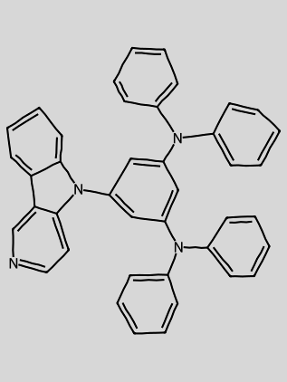 c1ccc(N(c2ccccc2)c2cc(N(c3ccccc3)c3ccccc3)cc(-n3c4ccccc4c4cnccc43)c2)cc1